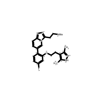 CNCCc1nnc2ccc(-c3ccc(F)cc3OCCc3c(C)n[nH]c3C)cn12